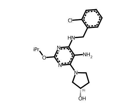 CC(C)Oc1nc(NCc2ccccc2Cl)c(N)c(N2CC[C@H](O)C2)n1